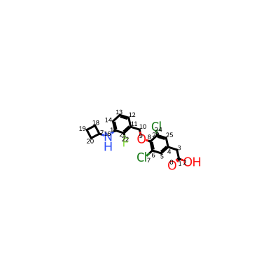 O=C(O)Cc1cc(Cl)c(OCc2cccc(NC3CCC3)c2F)c(Cl)c1